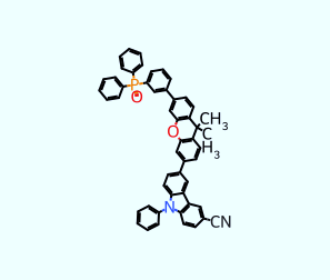 CC1(C)c2ccc(-c3cccc(P(=O)(c4ccccc4)c4ccccc4)c3)cc2Oc2cc(-c3ccc4c(c3)c3cc(C#N)ccc3n4-c3ccccc3)ccc21